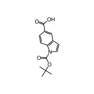 CC(C)(C)OC(=O)n1ccc2cc(C(=O)O)ccc21